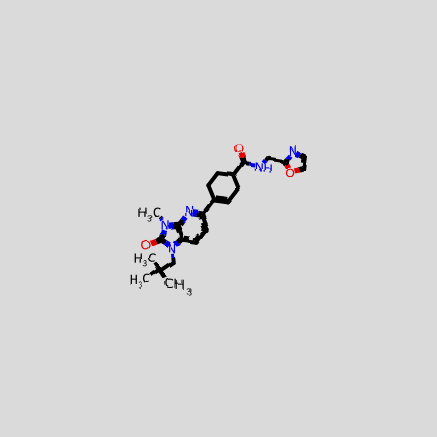 Cn1c(=O)n(CC(C)(C)C)c2ccc(C3=CCC(C(=O)NCc4ncco4)CC3)nc21